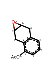 CC(=O)Oc1cccc2c1CC1OC1C2